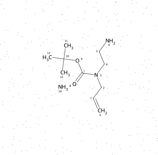 C=CCN(CCN)C(=O)OC(C)(C)C.N